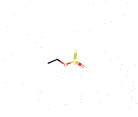 CCO[SH](=O)=S